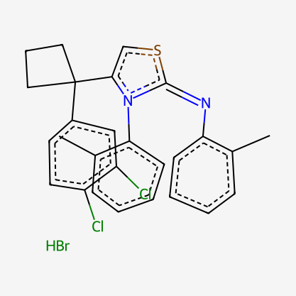 Br.Cc1ccccc1/N=c1/scc(C2(c3ccc(Cl)c(Cl)c3)CCC2)n1-c1ccccc1C